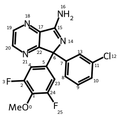 COc1c(F)cc(C2(c3cccc(Cl)c3)N=C(N)c3nccnc32)cc1F